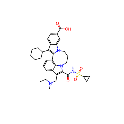 CCN(C)Cc1c(C(=O)NS(=O)(=O)C2CC2)n2c3c(cccc13)-c1c(C3CCCCC3)c3ccc(C(=O)O)cc3n1CCC2